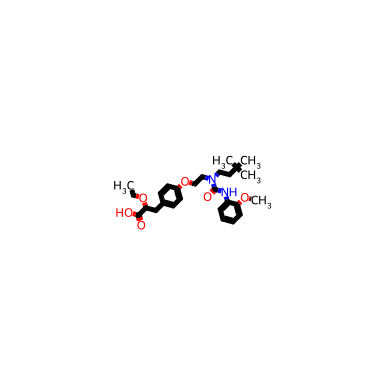 CCOC(Cc1ccc(OCCN(CCC(C)(C)C)C(=O)Nc2ccccc2OC)cc1)C(=O)O